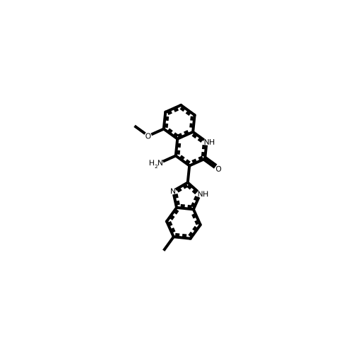 COc1cccc2[nH]c(=O)c(-c3nc4cc(C)ccc4[nH]3)c(N)c12